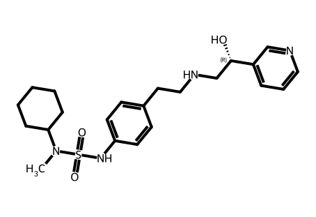 CN(C1CCCCC1)S(=O)(=O)Nc1ccc(CCNC[C@H](O)c2cccnc2)cc1